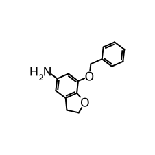 Nc1cc2c(c(OCc3ccccc3)c1)OCC2